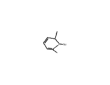 [2H]N1C(C)=CC=CC1C